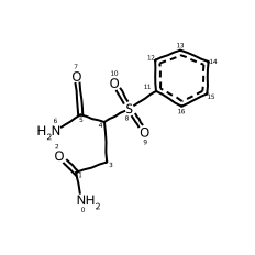 NC(=O)CC(C(N)=O)S(=O)(=O)c1ccccc1